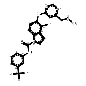 CNCc1cc(Oc2ccc3c(ccn3C(=O)Nc3cccc(C(F)(F)F)c3)c2F)ncn1